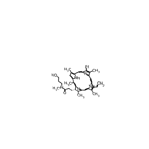 C=Cc1c(C)c2cc3nc(c(C)c4cc(C)c(cc5nc(cc1[nH]2)C(C)=C5CC)[nH]4)[C@@H](CCC(=O)N(C)CCCO)[C@@H]3C